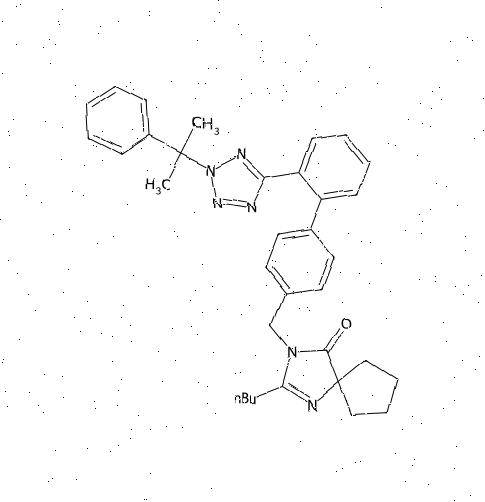 CCCCC1=NC2(CCCC2)C(=O)N1Cc1ccc(-c2ccccc2-c2nnn(C(C)(C)c3ccccc3)n2)cc1